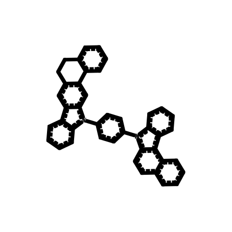 c1ccc2c(c1)CCc1cc3c4ccccc4n(-c4ccc(-n5c6ccccc6c6c7ccccc7ccc65)cc4)c3cc1-2